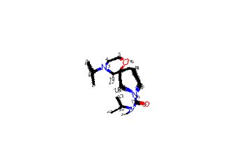 CC(C)N1CCOC2(CCN(C(=O)N(C)C(C)C)C2)C1